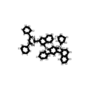 c1ccc(-c2cc(-c3ccccc3)nc(-c3cc(-n4c5ccccc5c5cc6c7c8ccccc8ccc7n(-c7ccccc7)c6cc54)c4ccccc4c3)n2)cc1